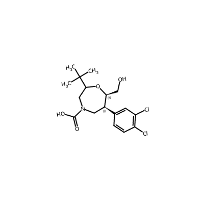 CC(C)(C)C1CN(C(=O)O)C[C@H](c2ccc(Cl)c(Cl)c2)[C@H](CO)O1